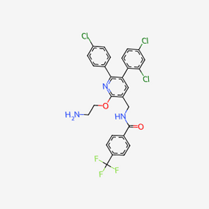 NCCOc1nc(-c2ccc(Cl)cc2)c(-c2ccc(Cl)cc2Cl)cc1CNC(=O)c1ccc(C(F)(F)F)cc1